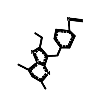 C=Nc1ccc(Cc2c(CC)nn3c(C)cc(C)nc23)cc1